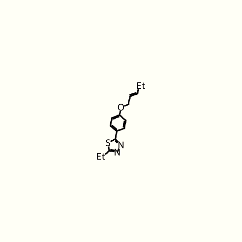 CCC=CCOc1ccc(-c2nnc(CC)s2)cc1